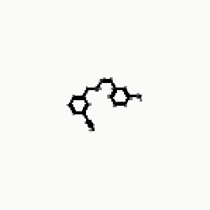 N#Cc1cccc(CO/N=[C]\c2cccc(Br)c2)c1